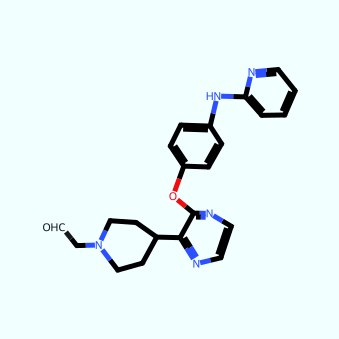 O=CCN1CCC(c2nccnc2Oc2ccc(Nc3ccccn3)cc2)CC1